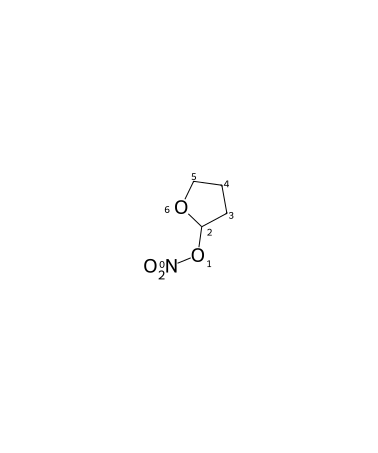 O=[N+]([O-])OC1CCCO1